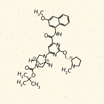 COc1cc(NC(=O)c2cc(N3C[C@@H]4C[C@H]3CN4C(=O)OC(C)(C)C)nc(OC[C@@H]3CCCN3C)n2)c2ccccc2c1